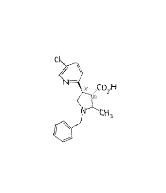 CC1[C@@H](C(=O)O)[C@H](c2ccc(Cl)cn2)CN1Cc1ccccc1